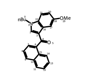 CCCCn1cc(C(=O)c2cccc3ccccc23)c2cc(OC)ccc21